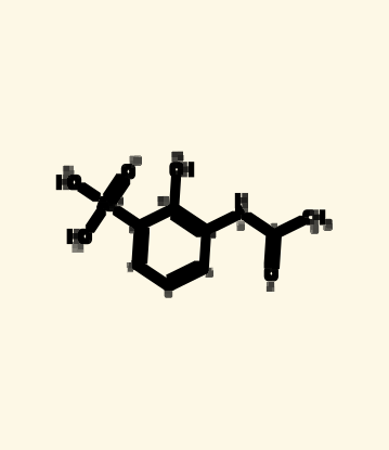 CC(=O)Nc1cccc([As](=O)(O)O)c1O